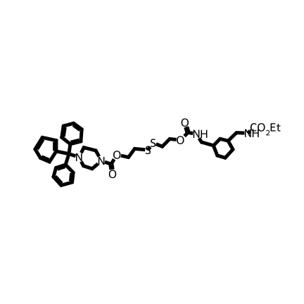 CCOC(=O)NCC1CCCC(CNC(=O)OCCSSCCOC(=O)N2CCN(C(c3ccccc3)(c3ccccc3)c3ccccc3)CC2)C1